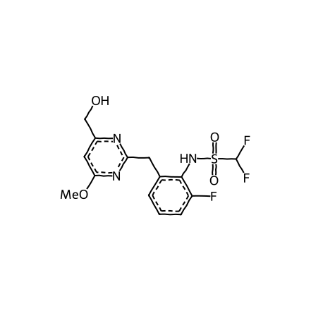 COc1cc(CO)nc(Cc2cccc(F)c2NS(=O)(=O)C(F)F)n1